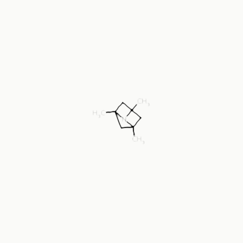 CC12CC3(C)CC(C)(C1)N23